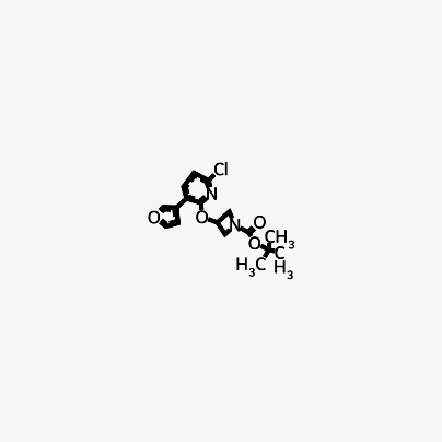 CC(C)(C)OC(=O)N1CC(Oc2nc(Cl)ccc2-c2ccoc2)C1